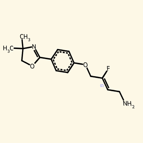 CC1(C)COC(c2ccc(OC/C(F)=C/CN)cc2)=N1